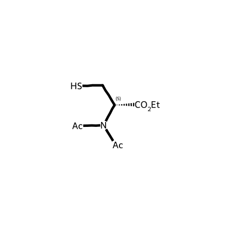 CCOC(=O)[C@@H](CS)N(C(C)=O)C(C)=O